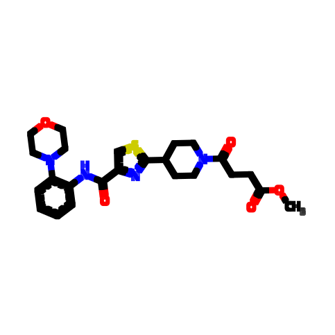 COC(=O)CCC(=O)N1CCC(c2nc(C(=O)Nc3ccccc3N3CCOCC3)cs2)CC1